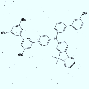 CC(C)(C)c1cccc(-c2cccc(N(c3ccc(-c4cc(-c5cc(C(C)(C)C)cc(C(C)(C)C)c5)cc(C(C)(C)C)c4)cc3)c3ccc4c(c3)C(C)(C)c3ccccc3-4)c2)c1